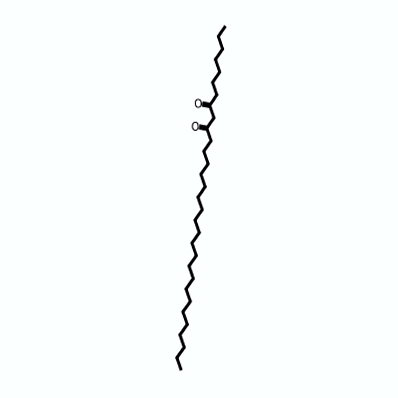 CCCCCCCCCCCCCCCCCCCCCC(=O)CC(=O)CCCCCCC